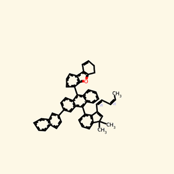 C/C=C\C=C/C1=CC(C)(C)c2cccc(-c3c4ccccc4c(-c4cccc5c6c(oc45)CCC=C6)c4ccc(-c5ccc6ccccc6c5)cc34)c21